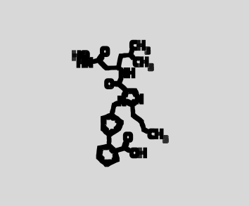 CCCCc1ncc(C(=O)NC(CC(=O)NO)CC(C)C)n1Cc1ccc(-c2ccccc2C(=O)O)cc1